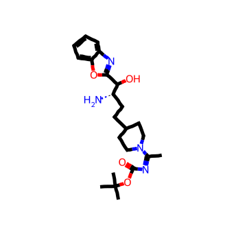 C/C(=N/C(=O)OC(C)(C)C)N1CCC(CC[C@H](N)C(O)c2nc3ccccc3o2)CC1